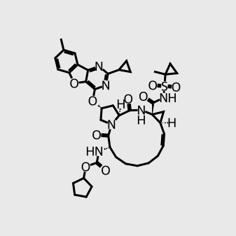 Cc1ccc2oc3c(O[C@@H]4C[C@H]5C(=O)N[C@]6(C(=O)NS(=O)(=O)C7(C)CC7)C[C@H]6/C=C\CCCCC[C@H](NC(=O)OC6CCCC6)C(=O)N5C4)nc(C4CC4)nc3c2c1